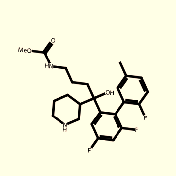 COC(=O)NCCCC(O)(c1cc(F)cc(F)c1-c1cc(C)ccc1F)C1CCCNC1